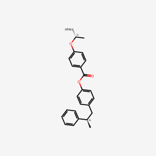 CCCCCC[C@H](C)Oc1ccc(C(=O)Oc2ccc(C[C@@H](C)c3ccccc3)cc2)cc1